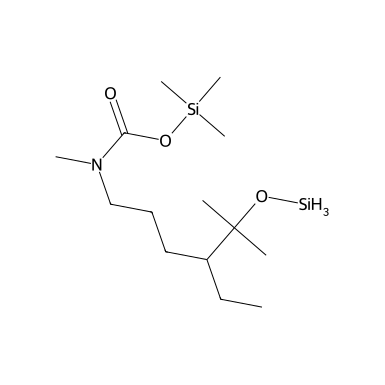 CCC(CCCN(C)C(=O)O[Si](C)(C)C)C(C)(C)O[SiH3]